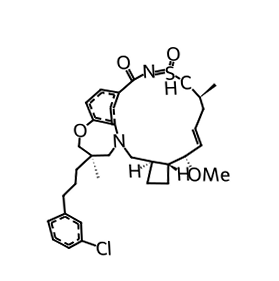 CO[C@H]1/C=C/C[C@H](C)C/[SH](=O)=N\C(=O)c2ccc3c(c2)N(C[C@@H]2CC[C@H]21)C[C@@](C)(CCCc1cccc(Cl)c1)CO3